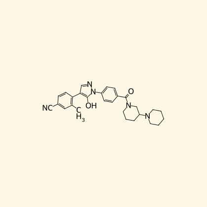 Cc1cc(C#N)ccc1-c1cnn(-c2ccc(C(=O)N3CCCC(N4CCCCC4)C3)cc2)c1O